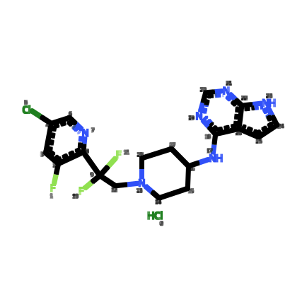 Cl.Fc1cc(Cl)cnc1C(F)(F)CN1CCC(Nc2ncnc3[nH]ccc23)CC1